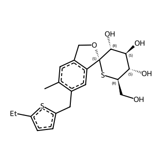 CCc1ccc(Cc2cc3c(cc2C)CO[C@]32S[C@H](CO)[C@@H](O)[C@H](O)[C@H]2O)s1